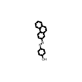 Oc1ccc(N=Nc2ccc3c(ccc4ccccc43)c2)cc1